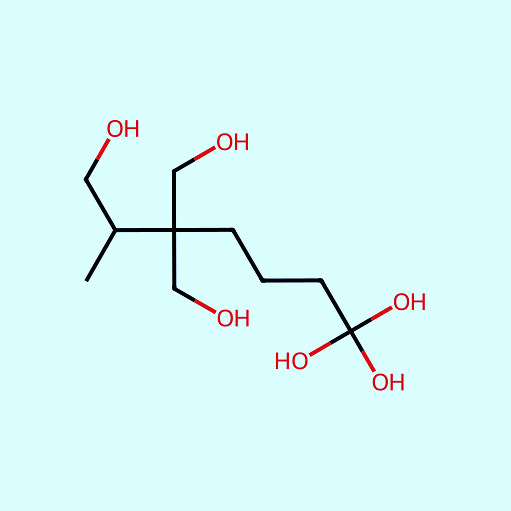 CC(CO)C(CO)(CO)CCCC(O)(O)O